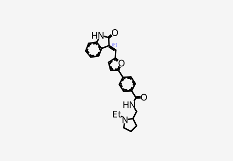 CCN1CCCC1CNC(=O)c1ccc(-c2ccc(/C=C3/C(=O)Nc4ccccc43)o2)cc1